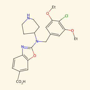 CCOc1cc(CN(c2nc3ccc(C(=O)O)cc3o2)C2CCNCC2)cc(OCC)c1Cl